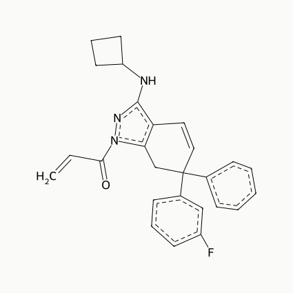 C=CC(=O)n1nc(NC2CCC2)c2c1CC(c1ccccc1)(c1cccc(F)c1)C=C2